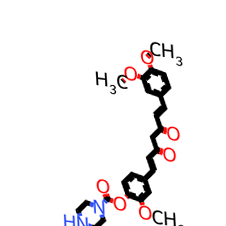 COc1ccc(C=CC(=O)CC(=O)C=Cc2ccc(OC(=O)N3CCNCC3)c(OC)c2)cc1OC